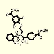 COC(=O)c1cc(F)c(OCCN(C(C)C2CCN(C(=O)OC(C)(C)C)CC2)S(=O)(=O)c2ccccc2[N+](=O)[O-])c(Br)c1